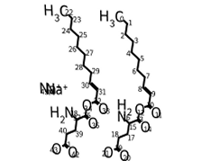 CCCCCCCCC=CC(=O)OC(=O)C(N)CCC(=O)[O-].CCCCCCCCC=CC(=O)OC(=O)C(N)CCC(=O)[O-].[Na+].[Na+]